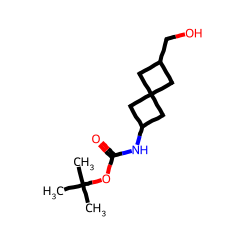 CC(C)(C)OC(=O)NC1CC2(CC(CO)C2)C1